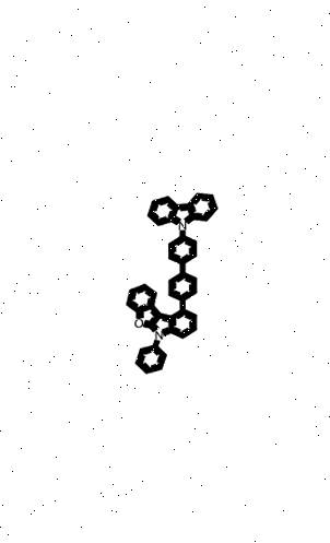 c1ccc(-n2c3cccc(-c4ccc(-c5ccc(-n6c7ccccc7c7ccccc76)cc5)cc4)c3c3c4ccccc4oc32)cc1